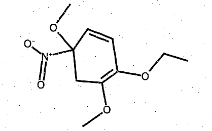 CCOC1=C(OC)CC(OC)([N+](=O)[O-])C=C1